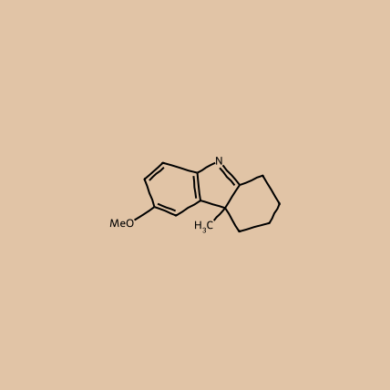 COc1ccc2c(c1)C1(C)CCCCC1=N2